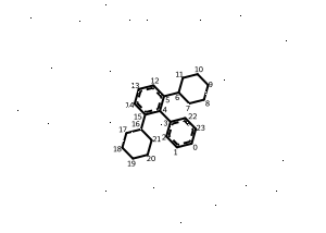 c1ccc(-c2c(C3CCCCC3)cccc2C2CCCCC2)cc1